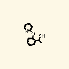 CC(S)c1ccccc1Oc1ccccn1